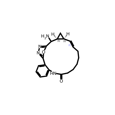 NC1c2nnc(o2)-c2ccccc2NC(=O)CCCCC/C=C/[C@@H]2C[C@H]12